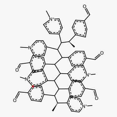 C[C@H](c1ccc(C=O)cc1)C(c1cc[n+](C)cc1)C(c1cc[n+](C)cc1)C(c1ccc(C=O)cc1)C(c1ccc(C=O)cc1)C(c1cc[n+](C)cc1)C(c1cc[n+](C)cc1)C(c1ccc(C=O)cc1)C(c1ccc(C=O)cc1)[C@H](C)c1cc[n+](C)cc1